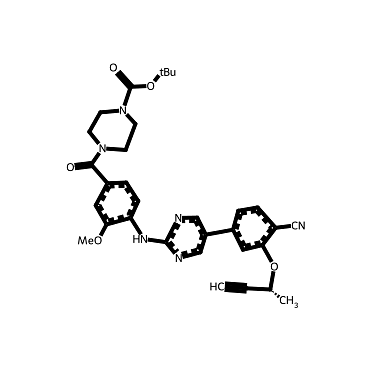 C#C[C@@H](C)Oc1cc(-c2cnc(Nc3ccc(C(=O)N4CCN(C(=O)OC(C)(C)C)CC4)cc3OC)nc2)ccc1C#N